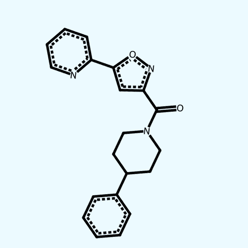 O=C(c1cc(-c2ccccn2)on1)N1CCC(c2ccccc2)CC1